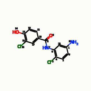 Nc1ccc(Cl)c(NC(=O)c2ccc(O)c(Cl)c2)c1